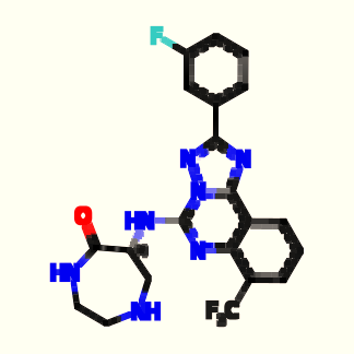 O=C1NCCNC[C@H]1Nc1nc2c(C(F)(F)F)cccc2c2nc(-c3cccc(F)c3)nn12